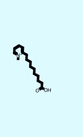 C[n+]1ccccc1CCCCCCCCCC(=O)O